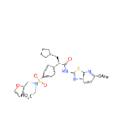 COc1ccc2nc(NC(=O)[C@H](CC3CCCC3)c3ccc(S(=O)(=O)N(CC(=O)O)Cc4ccco4)cc3)sc2n1